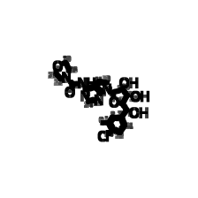 Cc1cc([C@@H](O)C2O[C@@H](n3ccc4c(NC(=O)N5CCOCC5)ncnc43)[C@H](O)[C@@H]2O)ccc1Cl